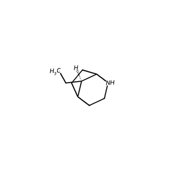 CC[C@@H]1C2CCNC1CC2